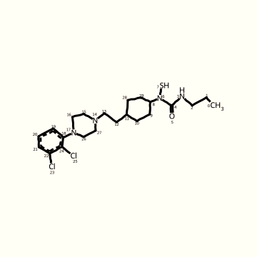 CCCNC(=O)N(S)C1CCC(CCN2CCN(c3cccc(Cl)c3Cl)CC2)CC1